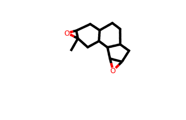 CC12CC3C(CCC4CC5OC5C43)CC1O2